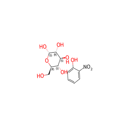 O=[N+]([O-])c1ccccc1O.OC[C@H]1O[C@H](O)[C@H](O)[C@@H](O)[C@@H]1O